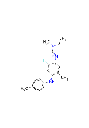 CCN(C)/C=N/c1cc(C)c(Nc2ccc(C)cc2)cc1F